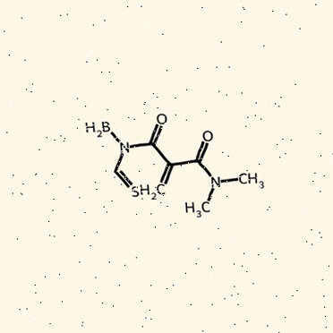 BN(C=S)C(=O)C(=C)C(=O)N(C)C